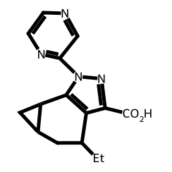 CCC1CC2CC2c2c1c(C(=O)O)nn2-c1cnccn1